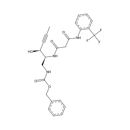 CC#C[C@H](O)[C@H](CNC(=O)OCc1ccccc1)NC(=O)CC(=O)Nc1ccccc1C(F)(F)F